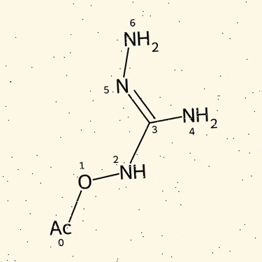 CC(=O)ONC(N)=NN